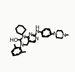 Cc1cccc(C)c1N1Cc2cnc(Nc3ccc(N4CCN(C)CC4)cc3)nc2N(C2CCCCC2)C1O